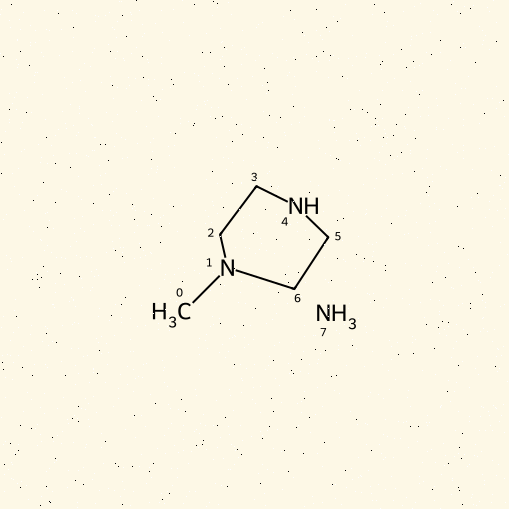 CN1CCNCC1.N